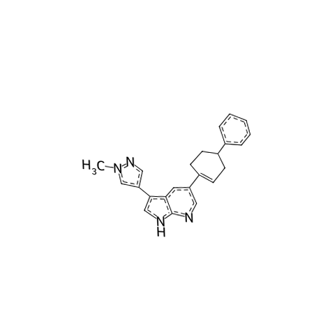 Cn1cc(-c2c[nH]c3ncc(C4=CCC(c5ccccc5)CC4)cc23)cn1